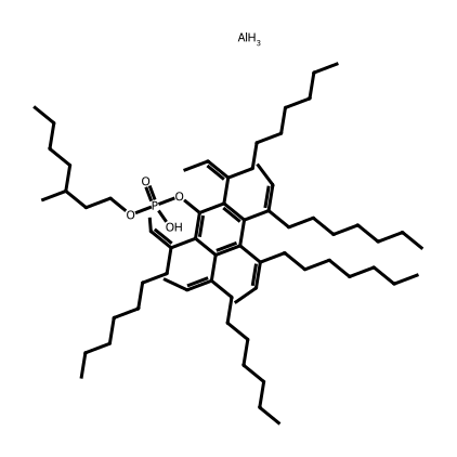 C/C=C(/CCCCCCC)c1c(OP(=O)(O)OCCC(C)CCCC)c(/C(=C\C)CCCCCCC)c(/C(=C\C)CCCCCCC)c(/C(=C\C)CCCCCCC)c1/C(=C\C)CCCCCCC.[AlH3]